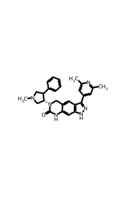 Cc1cc(-c2n[nH]c3cc4c(cc23)CN([C@@H]2CN(C)CC2c2ccccc2)C(=O)N4)cc(C)n1